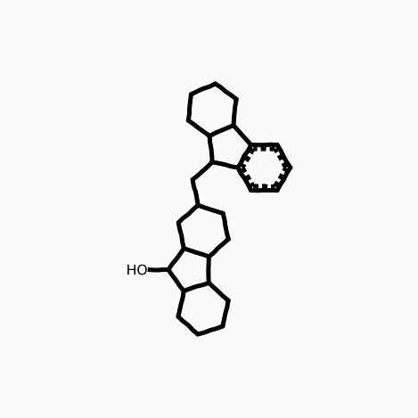 OC1C2CCCCC2C2CCC(CC3c4ccccc4C4CCCCC43)CC12